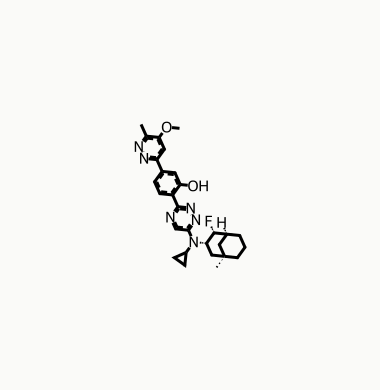 COc1cc(-c2ccc(-c3ncc(N(C4CC4)[C@H]4C[C@]5(C)CCC[C@@H](C5)[C@H]4F)nn3)c(O)c2)nnc1C